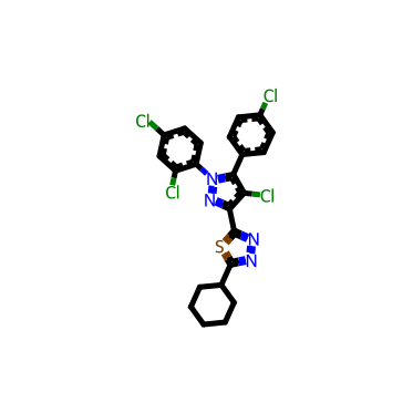 Clc1ccc(-c2c(Cl)c(-c3nnc(C4CCCCC4)s3)nn2-c2ccc(Cl)cc2Cl)cc1